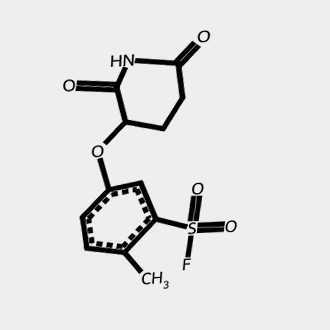 Cc1ccc(OC2CCC(=O)NC2=O)cc1S(=O)(=O)F